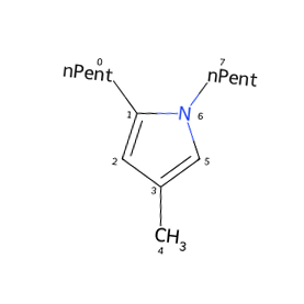 CCCCCc1cc(C)cn1CCCCC